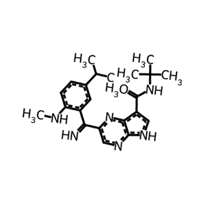 CNc1ccc(C(C)C)cc1C(=N)c1cnc2[nH]cc(C(=O)NC(C)(C)C)c2n1